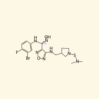 CN(C)SN1CCC(CNc2nonc2/C(=N/O)Nc2ccc(F)c(Br)c2)C1